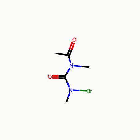 CC(=O)N(C)C(=O)N(C)Br